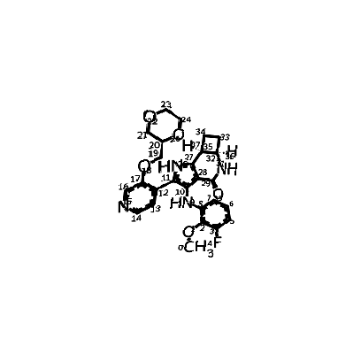 COc1c(F)cccc1Nc1c(-c2ccncc2OC[C@H]2COCCO2)[nH]c2c1C(=O)N[C@@H]1CC[C@H]21